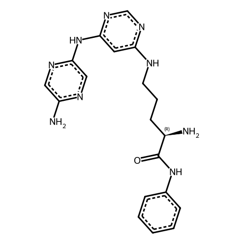 Nc1cnc(Nc2cc(NCCC[C@@H](N)C(=O)Nc3ccccc3)ncn2)cn1